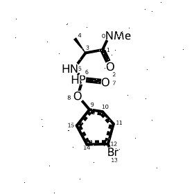 CNC(=O)[C@H](C)N[PH](=O)Oc1ccc(Br)cc1